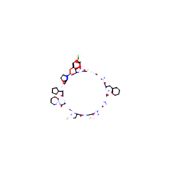 CC[C@H](C)C1NC(=O)C(CC(C)C)N(C)C(=O)CC(C(=O)N2CCCCC2)N(C)C(=O)C(C2CCCC2)N(C)C(=O)C2(CCCC2CCc2ccc(C(F)(F)F)c(Cl)c2)NC(=O)C(COCCC(C)C)N(C)C(=O)CNC(=O)CN(C)C(=O)C(CC2CCCCC2)N(C)C(=O)CN(C)C(=O)CN(C)C1=O